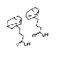 O=C(O)CCCC12CC3CC(CC(C3)C1)C2.O=C(O)CCCC12CC3CC(CC(C3)C1)C2